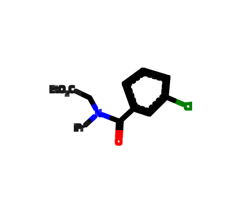 CCOC(=O)CN(C(=O)c1cccc(Cl)c1)C(C)C